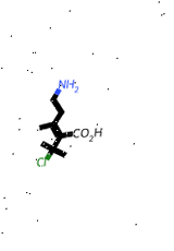 CC(CCN)=C(C(=O)O)C(C)(C)Cl